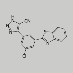 N#Cc1[nH]nnc1-c1cc(Cl)cc(-c2nc3ccccc3s2)c1